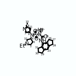 CCN1CCC(N(c2cnn(C)c2)S(=O)(=O)[NH+]([O-])C(=O)Nc2c3c(cc4c2CCC4)CCC3)C1